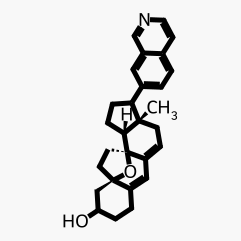 C[C@@]12CC=C3C=C4CCC(O)C[C@]45CC[C@]3(O5)[C@@H]1CCC2c1ccc2ccncc2c1